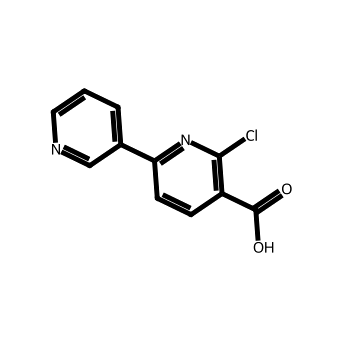 O=C(O)c1ccc(-c2cccnc2)nc1Cl